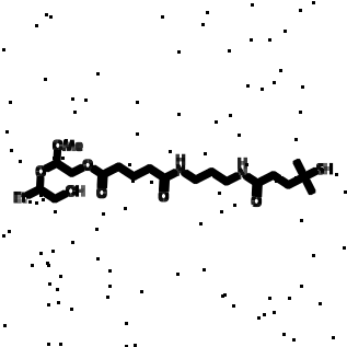 CCC(CO)OC(COC(=O)CCCC(=O)NCCCNC(=O)CCC(C)(C)S)OC